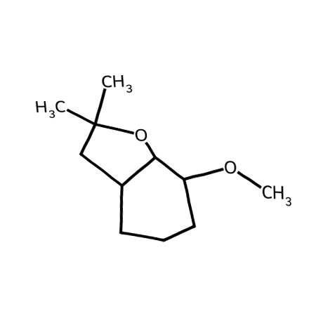 COC1CCCC2CC(C)(C)OC21